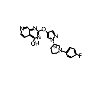 Oc1nc(Oc2cnn([C@H]3CCCN(c4ccc(F)cc4)C3)c2)nc2cnccc12